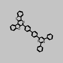 c1ccc(-c2cc(-c3ccc(-c4ccc(-c5nc6c7ccccc7sc6c6c5oc5ccccc56)cc4)cc3)nc(-c3ccccc3)n2)cc1